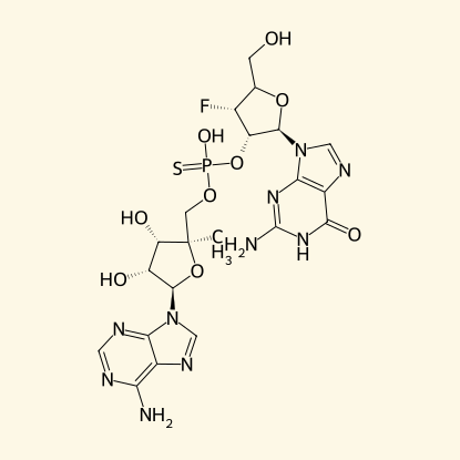 C[C@]1(COP(O)(=S)O[C@@H]2[C@H](F)C(CO)O[C@H]2n2cnc3c(=O)[nH]c(N)nc32)O[C@@H](n2cnc3c(N)ncnc32)[C@H](O)[C@@H]1O